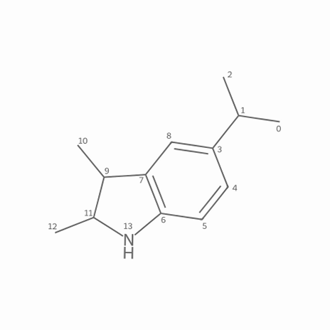 CC(C)c1ccc2c(c1)C(C)C(C)N2